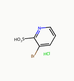 Cl.O=S(=O)(O)c1ncccc1Br